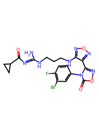 N/C(=N\C(=O)C1CC1)NCCCNc1nonc1-c1noc(=O)n1-c1ccc(F)c(Br)c1